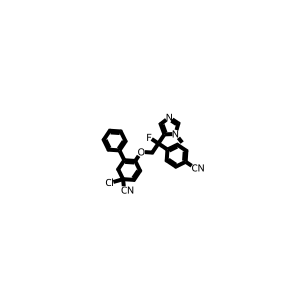 Cn1cncc1C(F)(COC1=C(c2ccccc2)CC(Cl)(C#N)C=C1)c1ccc(C#N)cc1